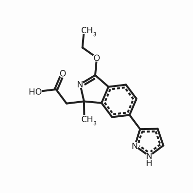 CCOC1=NC(C)(CC(=O)O)c2cc(-c3cc[nH]n3)ccc21